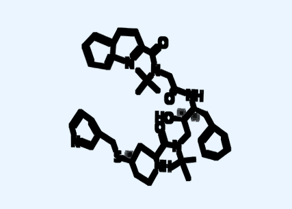 CC(C)(C)N(CC(=O)N[C@@H](Cc1ccccc1)[C@H](O)CN(C(=O)C1C[C@H](SCc2cccnc2)CCN1)C(C)(C)C)C(=O)c1ccc2ccccc2n1